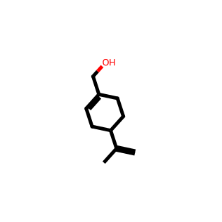 C=C(C)C1CC=C(CO)CC1